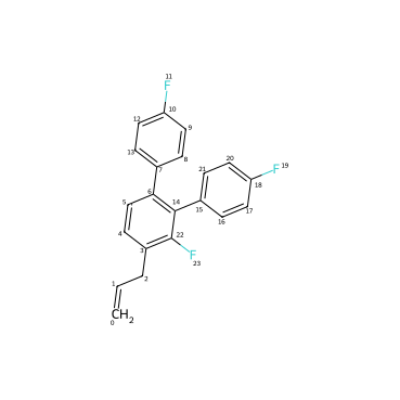 C=CCc1c[c]c(-c2ccc(F)cc2)c(-c2ccc(F)cc2)c1F